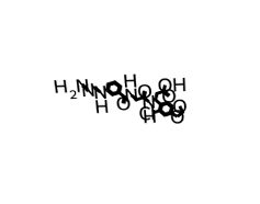 NN=CNc1cccc(C(=O)NCC(=O)NC(CC(=O)O)c2cc3c(cc2Cl)OCO3)c1